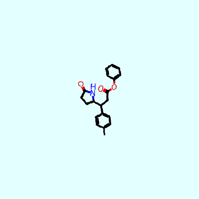 Cc1ccc(C(CC(=O)Oc2ccccc2)C2CCC(=O)N2)cc1